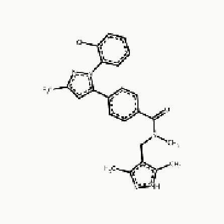 Cc1n[nH]c(C)c1CN(C)C(=O)c1ccc(-c2cc(C(F)(F)F)nn2-c2ccccc2Cl)cc1